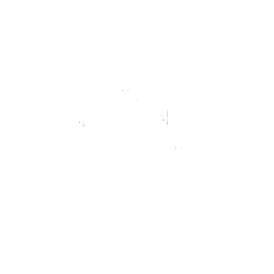 CC1(C)N[C@@H](C[C@H](c2cccnc2)S(=O)(=O)O)CO1.O=Cc1ccccc1